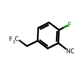 [C-]#[N+]c1cc(CC(F)(F)F)ccc1F